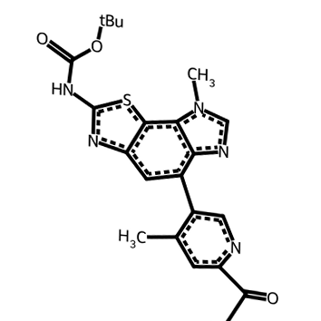 CCC(=O)c1cc(C)c(-c2cc3nc(NC(=O)OC(C)(C)C)sc3c3c2ncn3C)cn1